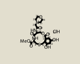 COC(=O)[C@@H]1CSCc2c(O)cc(O)cc2C(=O)OC[C@H](NC(=O)CN2CCOCC2)C(=O)N1.Cl